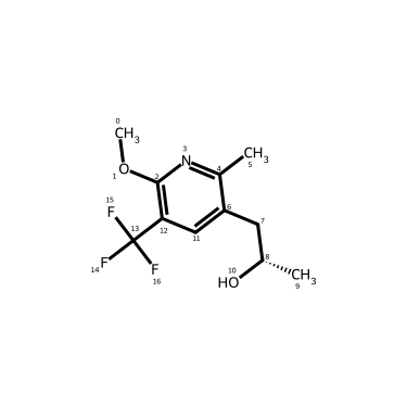 COc1nc(C)c(C[C@H](C)O)cc1C(F)(F)F